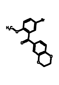 COc1ccc(Br)cc1C(=O)c1ccc2c(c1)OCCO2